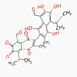 Cc1c(-c2c(C)c(=O)c3c(C(C)C)c(=O)c(=O)c(C=O)c-3c2=O)c(O)c2c(C=O)c(O)c(O)c(C(C)C)c2c1O